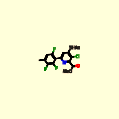 COC(=O)c1nc(-c2c(F)cc(C)c(F)c2F)cc(NC(C)=O)c1Cl